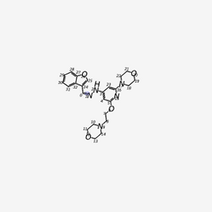 C(=N/Nc1cc(OCCN2CCOCC2)nc(N2CCOCC2)c1)/c1coc2ccccc12